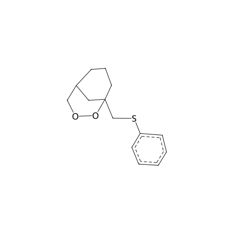 c1ccc(SCC23CCCC(COO2)C3)cc1